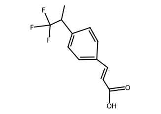 CC(c1ccc(C=CC(=O)O)cc1)C(F)(F)F